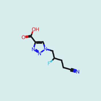 N#CCCC(F)Cn1cc(C(=O)O)nn1